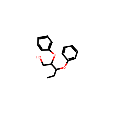 CCC(Oc1ccccc1)C(CO)Oc1ccccc1